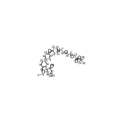 CCOC1=C(c2cc(-c3ccc(OC4CCN(CCOCCOCC(=O)OC(C)(C)C)CC4)cc3)ccc2C)C(=O)CC(C)(C)C1